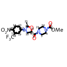 COC(=O)N1CCN(C(=O)[C@@H]2CN(c3ccc([N+](=O)[O-])c(C(F)(F)F)c3)[C@@H](C)O2)CC1